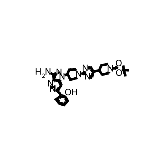 CC(C)(C)OC(=O)N1CCC(c2cnc(N3CCC(n4nc(N)c5nnc(-c6ccccc6O)cc54)CC3)nc2)CC1